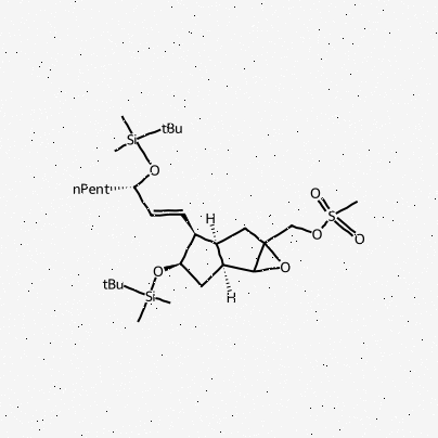 CCCCC[C@@H](/C=C/[C@H]1[C@H]2CC3(COS(C)(=O)=O)OC3[C@H]2C[C@H]1O[Si](C)(C)C(C)(C)C)O[Si](C)(C)C(C)(C)C